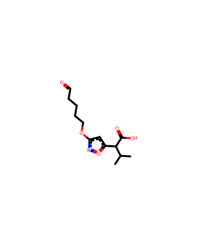 CC(C)C(C(=O)O)c1cc(OCCCCC=O)no1